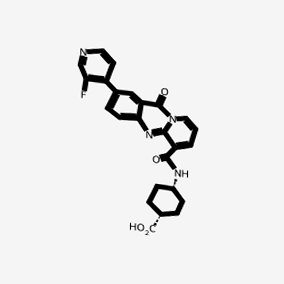 O=C(N[C@H]1CC[C@@H](C(=O)O)CC1)c1cccn2c(=O)c3cc(-c4ccncc4F)ccc3nc12